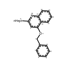 CCCCCCCc1cc(OCc2ccccc2)c2ccccc2n1